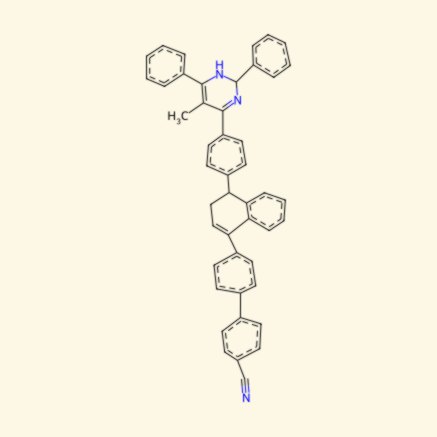 CC1=C(c2ccccc2)NC(c2ccccc2)N=C1c1ccc(C2CC=C(c3ccc(-c4ccc(C#N)cc4)cc3)c3ccccc32)cc1